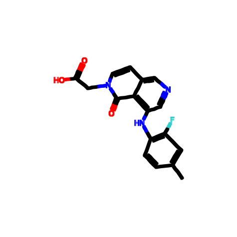 Cc1ccc(Nc2cncc3ccn(CC(=O)O)c(=O)c23)c(F)c1